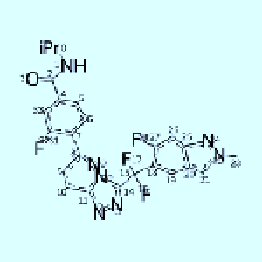 CC(C)NC(=O)c1ccc(-c2ccc3nnc(C(F)(F)c4cc5cn(C)nc5cc4F)n3n2)c(F)c1